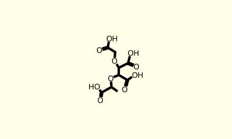 CC(OC(C(=O)O)C(OCC(=O)O)C(=O)O)C(=O)O